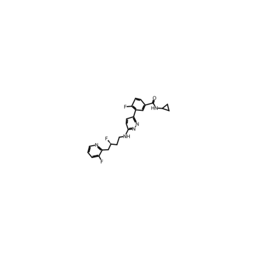 O=C(NC1CC1)c1ccc(F)c(-c2ccc(NCC[C@H](F)Cc3ncccc3F)nn2)c1